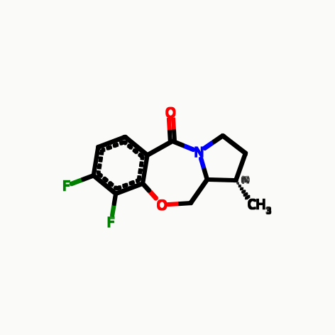 C[C@H]1CCN2C(=O)c3ccc(F)c(F)c3OCC12